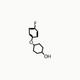 OC1CCC(Oc2ccc(F)cc2)CC1